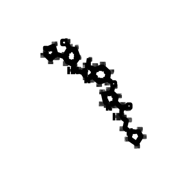 Cn1c(Nc2ccc(Cl)c(-c3ccsc3)c2)nc2cc(Oc3ccnc(C(=O)NCCN4CCCC4)c3)ccc21